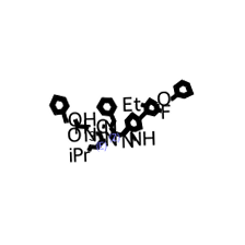 CCc1cc(OCc2ccccc2)c(F)cc1-c1ccc2c(/C(=N/C(=C/CC(C)C)CNCC(=O)OCc3ccccc3)N(C)Cc3ccccc3)n[nH]c2c1